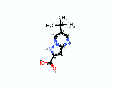 CC(C)(C)c1cnc2cc(C(=O)O)nn2c1